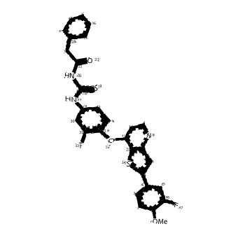 COc1ccc(-c2cc3nccc(Oc4ccc(NC(=S)NC(=O)Cc5ccccc5)cc4F)c3s2)cc1F